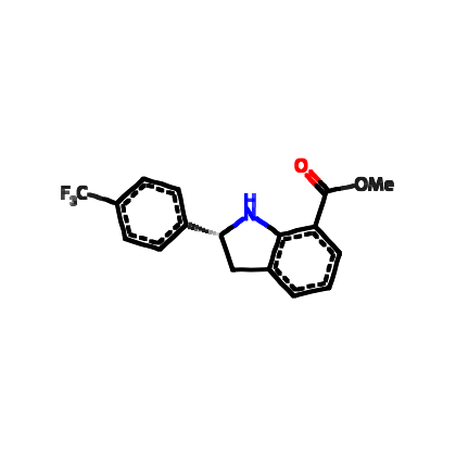 COC(=O)c1cccc2c1N[C@@H](c1ccc(C(F)(F)F)cc1)C2